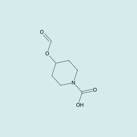 O=COC1CCN(C(=O)O)CC1